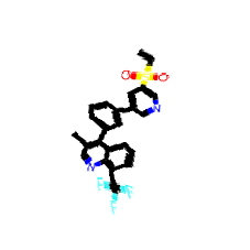 CCS(=O)(=O)c1cncc(-c2cccc(-c3c(C)cnc4c(C(F)(F)F)cccc34)c2)c1